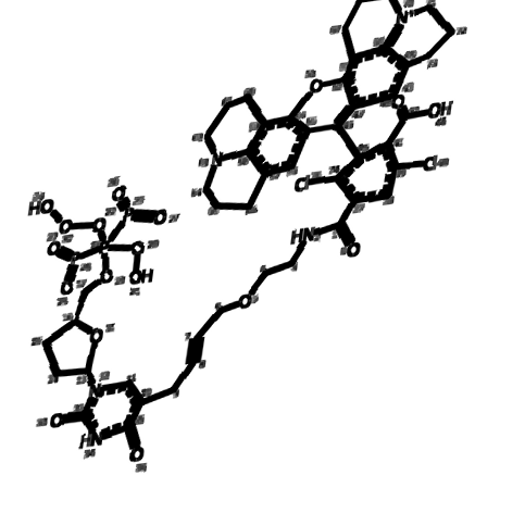 O=C(NCCOCC#CCc1cn([C@H]2CC[C@@H](COP(OO)(OOO)(P(=O)=O)P(=O)=O)O2)c(=O)[nH]c1=O)c1cc(Cl)c(C(=O)O)c(C2=c3cc4c5c(c3Oc3c2cc2c6c3CCCN6CCC2)CCC[N+]=5CCC4)c1Cl